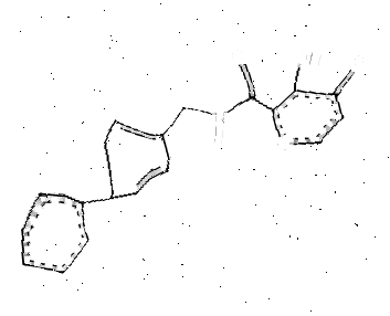 O=C(NCC1=CCC(c2ccccc2)C=C1)c1occc(=O)c1O